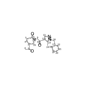 CC(=O)c1ccc(=O)n(CC(=O)c2cnn(Cc3ccccc3)c2C)c1